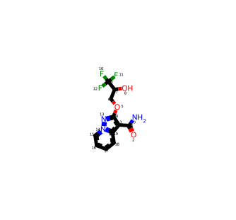 NC(=O)c1c(OCC(O)C(F)(F)F)nn2ccccc12